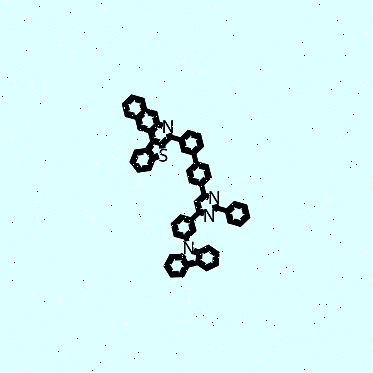 c1ccc(-c2nc(-c3ccc(-c4cccc(-c5nc6cc7ccccc7cc6c6c5sc5ccccc56)c4)cc3)cc(-c3cccc(-n4c5ccccc5c5ccccc54)c3)n2)cc1